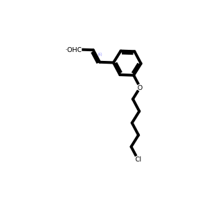 O=[C]/C=C/c1cccc(OCCCCCCl)c1